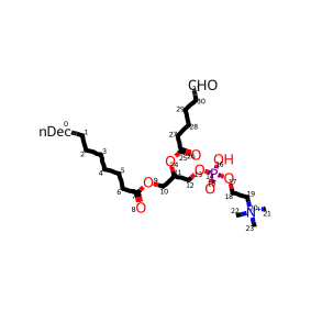 CCCCCCCCCCCCCCCCC(=O)OCC(COP(=O)(O)OCC[N+](C)(C)C)OC(=O)CCCCC=O